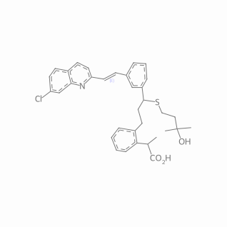 CC(C(=O)O)c1ccccc1CCC(SCCC(C)(C)O)c1cccc(/C=C/c2ccc3ccc(Cl)cc3n2)c1